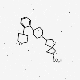 O=C(O)N1CC2(CC(N3CCC(c4ccccc4C4CCOCC4)CC3)CO2)C1